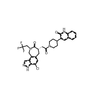 O=C(C[C@@H]1Cc2cc(Cl)c3[nH]ncc3c2CN(CC(F)(F)F)C1=O)N1CCC(c2cc3ccccc3[nH]c2=O)CC1